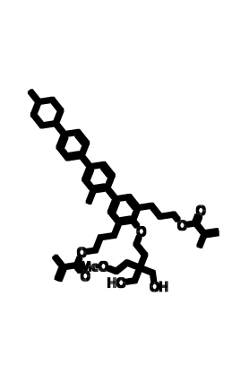 C=C(C)C(=O)OCCCc1cc(-c2ccc(-c3ccc(C4CCC(C)CC4)cc3)cc2C)cc(CCCOC(=O)C(=C)C)c1OCCC(CO)(CO)CCOC